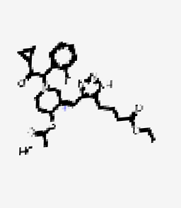 CCOC(=O)CCCc1[nH]nnc1/C=C1\CN(C(C(=O)C2CC2)c2ccccc2F)CCC1SC(C)=O.Cl